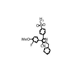 COc1ccc(-c2c(-c3ccc(S(C)(=O)=O)cc3)nn(Cc3ccccc3)c2C#N)cc1F